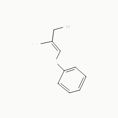 CC/C(C)=C/Oc1ccccc1